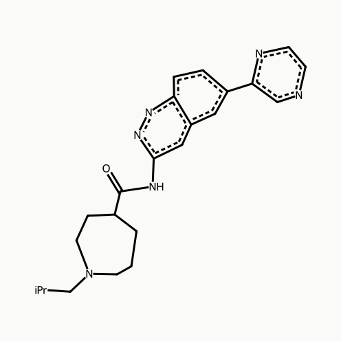 CC(C)CN1CCCC(C(=O)Nc2cc3cc(-c4cnccn4)ccc3nn2)CC1